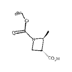 C[C@H]1[C@H](C(=O)O)CN1C(=O)OC(C)(C)C